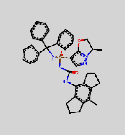 Cc1c2c(c(NC(=O)N=[S@](=O)(NC(c3ccccc3)(c3ccccc3)c3ccccc3)c3cnn4c3OC[C@H]4C)c3c1CCC3)CCC2